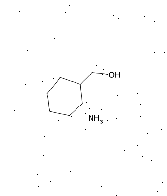 N.OCC1CCCCC1